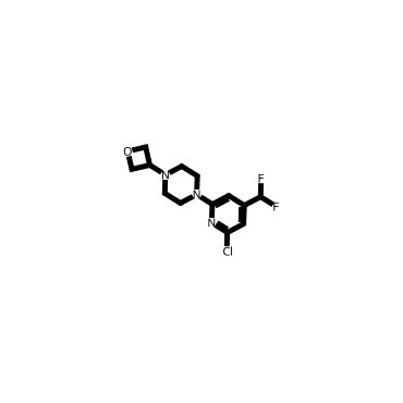 FC(F)c1cc(Cl)nc(N2CCN(C3COC3)CC2)c1